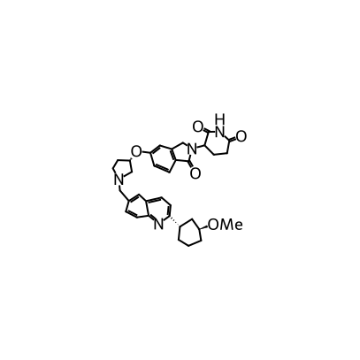 CO[C@H]1CCC[C@H](c2ccc3cc(CN4CC[C@H](Oc5ccc6c(c5)CN(C5CCC(=O)NC5=O)C6=O)C4)ccc3n2)C1